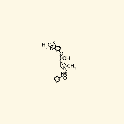 Cc1nc2cc(OC[C@H](O)CN3CCN(C[C@H]4COC(c5ccccc5)=N4)[C@@H](C)C3)ccc2s1